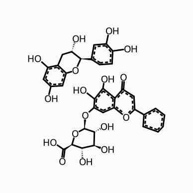 O=C(O)[C@H]1O[C@@H](Oc2cc3oc(-c4ccccc4)cc(=O)c3c(O)c2O)[C@H](O)[C@@H](O)[C@@H]1O.Oc1cc(O)c2c(c1)O[C@H](c1ccc(O)c(O)c1)[C@@H](O)C2